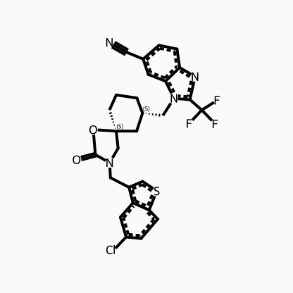 N#Cc1ccc2nc(C(F)(F)F)n(C[C@H]3CCC[C@]4(C3)CN(Cc3csc5ccc(Cl)cc35)C(=O)O4)c2c1